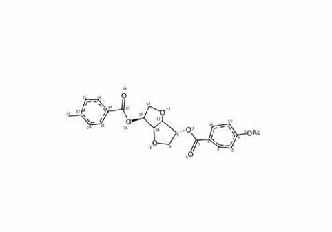 CC(=O)Oc1ccc(C(=O)O[C@@H]2COC3C2OC[C@@H]3OC(=O)c2ccc(C)cc2)cc1